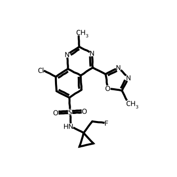 Cc1nc(-c2nnc(C)o2)c2cc(S(=O)(=O)NC3(CF)CC3)cc(Cl)c2n1